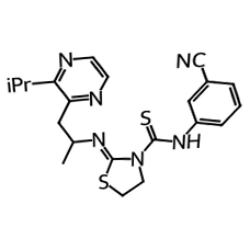 CC(Cc1nccnc1C(C)C)/N=C1\SCCN1C(=S)Nc1cccc(C#N)c1